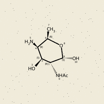 CC(=O)N[C@@H]1[C@@H](O)[C@@H](N)[C@@H](C)O[C@@H]1O